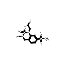 CC(C)N1Cc2ccc(S(C)(=O)=O)cc2N(CCCl)S1(=O)=O